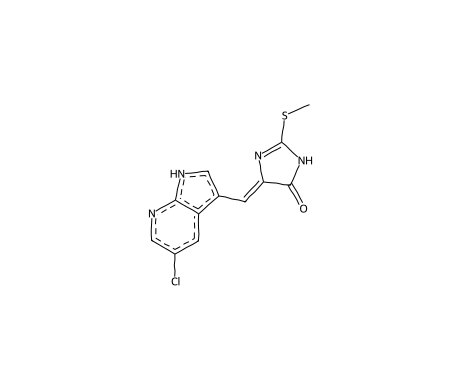 CSC1=NC(=Cc2c[nH]c3ncc(Cl)cc23)C(=O)N1